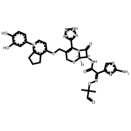 CC(C)(C=O)O/N=C(\C(=O)N[C@@H]1C(=O)N2C(c3nn[nH]n3)=C(CSc3cc[n+](-c4ccc(O)c(O)c4)c4c3CCC4)CS[C@H]12)c1csc(N)n1